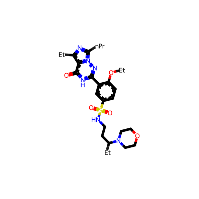 CCCc1nc(CC)c2c(=O)[nH]c(-c3cc(S(=O)(=O)NCCC(CC)N4CCOCC4)ccc3OCC)nn12